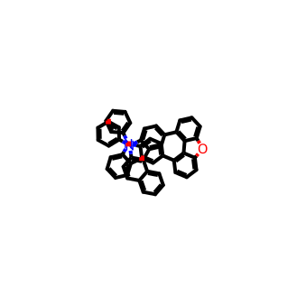 c1ccc(-n2c3ccccc3c3cc(-c4cccc5oc6cccc(-c7ccc8c(c7)c7c9ccccc9ccc7n8-c7ccccc7)c6c45)ccc32)cc1